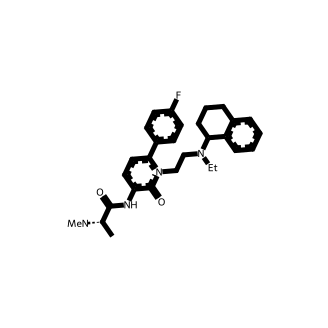 CCN(CCn1c(-c2ccc(F)cc2)ccc(NC(=O)[C@H](C)NC)c1=O)C1CCCc2ccccc21